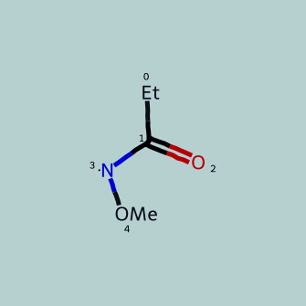 CCC(=O)[N]OC